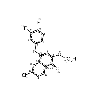 O=C(O)Oc1cn(Cc2ccc(F)c(F)c2)c2cc(Cl)ccc2c1=O